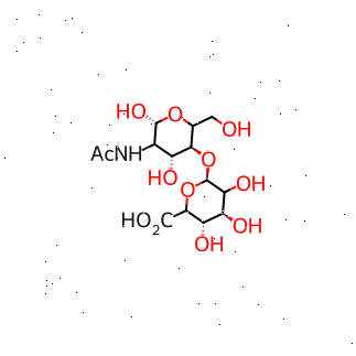 CC(=O)NC1[C@H](O)OC(CO)[C@@H](O[C@@H]2OC(C(=O)O)[C@@H](O)[C@H](O)C2O)[C@@H]1O